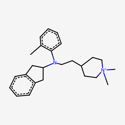 Cc1ccccc1N(CCC1CC[N+](C)(C)CC1)C1Cc2ccccc2C1